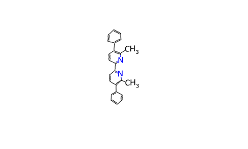 Cc1nc(-c2ccc(-c3ccccc3)c(C)n2)ccc1-c1ccccc1